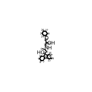 CC(CC(O)(c1ccccc1)c1ccccc1)NC[C@H](O)COc1ccccc1